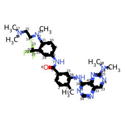 Cc1ccc(C(=O)Nc2ccc(N(C)CCN(C)C)c(C(F)(F)F)c2)cc1Nc1ncnc2cnc(N(C)C)nc12